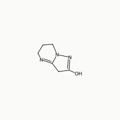 OC1=NN2CCCN=C2C1